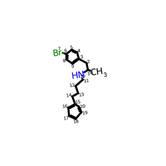 CC(Cc1ccc(Br)cc1)NCCCCc1ccccc1